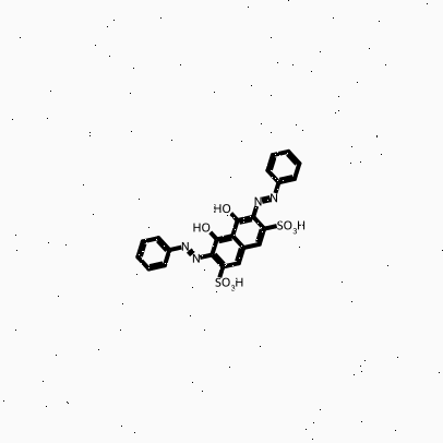 O=S(=O)(O)c1cc2cc(S(=O)(=O)O)c(N=Nc3ccccc3)c(O)c2c(O)c1N=Nc1ccccc1